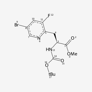 COC(=O)[C@H](Cc1ncc(Br)cc1F)NC(=O)OC(C)(C)C